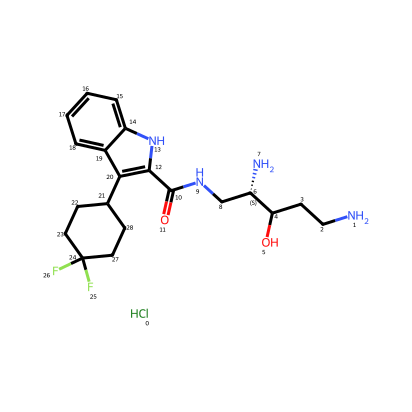 Cl.NCCC(O)[C@@H](N)CNC(=O)c1[nH]c2ccccc2c1C1CCC(F)(F)CC1